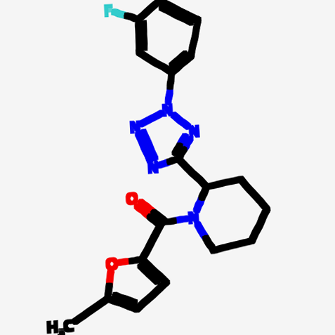 Cc1ccc(C(=O)N2CCCCC2c2nnn(-c3cccc(F)c3)n2)o1